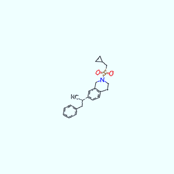 N#CC(Cc1ccccc1)c1ccc2c(c1)CN(S(=O)(=O)CC1CC1)CC2